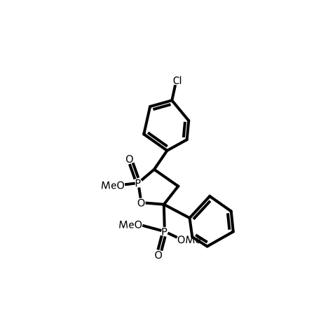 COP1(=O)OC(c2ccccc2)(P(=O)(OC)OC)CC1c1ccc(Cl)cc1